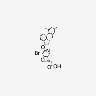 Cc1cc(C)c(-c2cccc3c2CCC3Oc2ncc3c(c2Br)OC[C@H]3CC(=O)O)c(C)c1